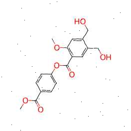 COC(=O)c1ccc(OC(=O)c2cc(CO)c(CO)cc2OC)cc1